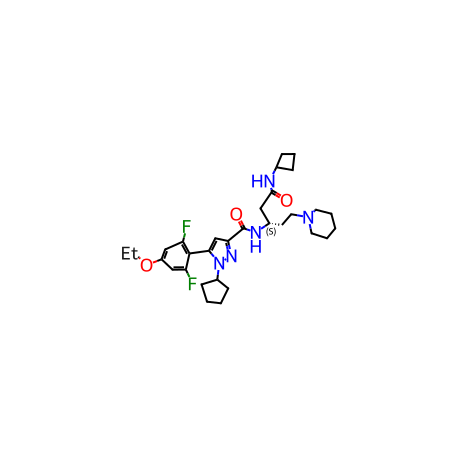 CCOc1cc(F)c(-c2cc(C(=O)N[C@@H](CCN3CCCCC3)CC(=O)NC3CCC3)nn2C2CCCC2)c(F)c1